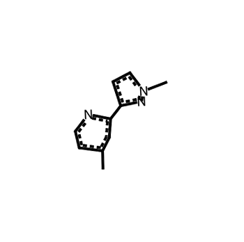 Cc1ccnc(-c2ccn(C)n2)c1